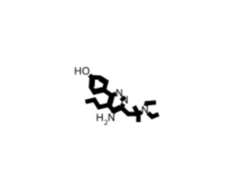 CCCc1c(-c2ccc(O)cc2)nnc(CC(C)(C)N(CC)CC)c1N